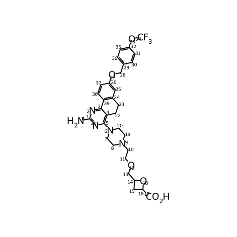 Nc1nc2c(c(N3CCN(CCOCC4CC(C(=O)O)O4)CC3)n1)CCc1cc(OCc3ccc(OC(F)(F)F)cc3)ccc1-2